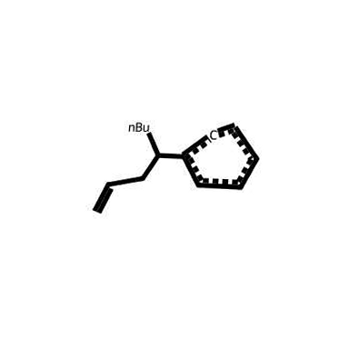 C=CCC(CCCC)c1ccccc1